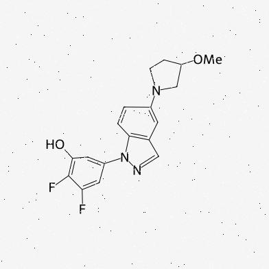 COC1CCN(c2ccc3c(cnn3-c3cc(O)c(F)c(F)c3)c2)C1